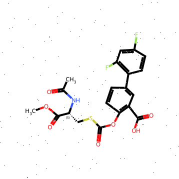 COC(=O)[C@@H](CSC(=O)Oc1ccc(-c2ccc(F)cc2F)cc1C(=O)O)NC(C)=O